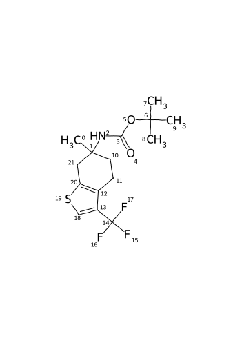 CC1(NC(=O)OC(C)(C)C)CCc2c(C(F)(F)F)csc2C1